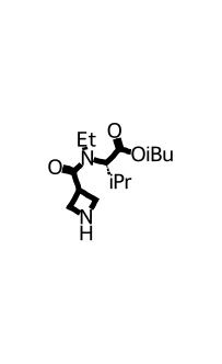 CCN(C(=O)C1CNC1)[C@H](C(=O)OCC(C)C)C(C)C